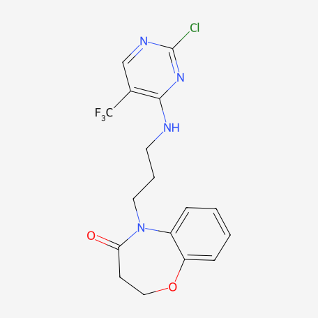 O=C1CCOc2ccccc2N1CCCNc1nc(Cl)ncc1C(F)(F)F